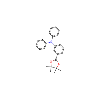 CC1(C)OB(c2cccc(N(c3ccccc3)c3ccccc3)c2)OC1(C)C